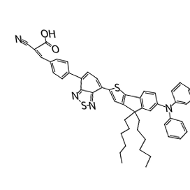 CCCCCCC1(CCCCCC)c2cc(N(c3ccccc3)c3ccccc3)ccc2-c2sc(-c3ccc(-c4ccc(C=C(C#N)C(=O)O)cc4)c4nsnc34)cc21